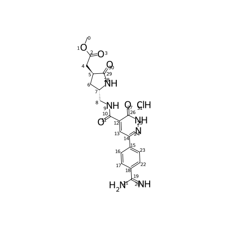 COC(=O)C[C@@H]1C[C@@H](CNC(=O)c2cc(-c3ccc(C(=N)N)cc3)n[nH]c2=O)NC1=O.Cl